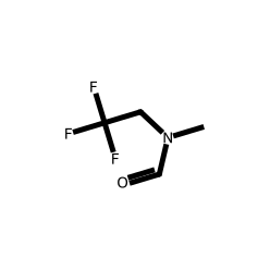 CN(C=O)CC(F)(F)F